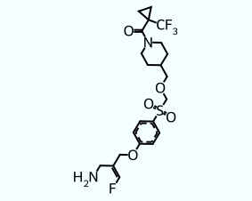 NCC(=CF)COc1ccc(S(=O)(=O)COCC2CCN(C(=O)C3(C(F)(F)F)CC3)CC2)cc1